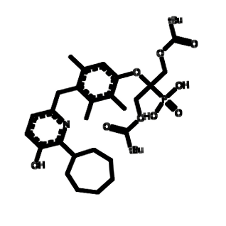 Cc1cc(OC(COC(=O)C(C)(C)C)(COC(=O)C(C)(C)C)P(=O)(O)O)c(C)c(C)c1Cc1ccc(O)c(C2CCCCCC2)n1